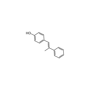 C/C(=C\c1ccc(O)cc1)c1ccccc1